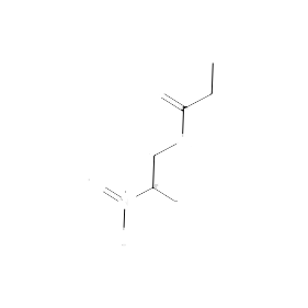 CCC(=O)OCC(Br)[N+](=O)[O-]